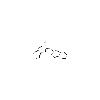 CC1C=c2ccccc2=C/C1=N/c1cc2c(cc1N)=CCCC=2